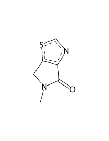 CN1Cc2scnc2C1=O